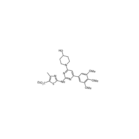 CCOC(=O)c1sc(Nc2nc(-c3cc(OC)c(OC)c(OC)c3)cc(N3CCC(O)CC3)n2)nc1C